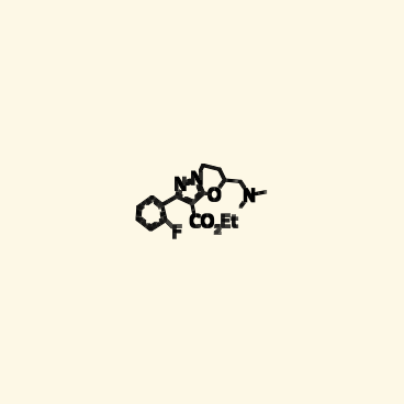 CCOC(=O)c1c(-c2ccccc2F)nn2c1OC(CN(C)C)CC2